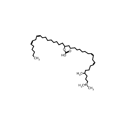 CCCCC/C=C\C/C=C\CCCCCCCCC(CCCCCCCC/C=C\C/C=C\CCCC(C)CCCN(C)C)OC(=O)O